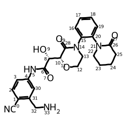 N#Cc1ccc(NC(=O)[C@H](O)[C@H]2OCCN(c3ccccc3N3CCCCC3=O)C2=O)cc1CN